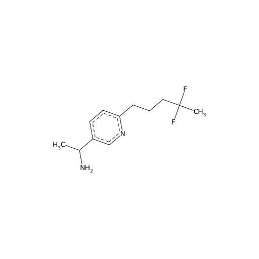 CC(N)c1ccc(CCCC(C)(F)F)nc1